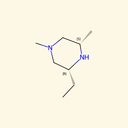 CC[C@@H]1CN(C)C[C@H](C)N1